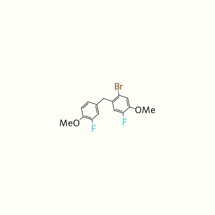 COc1ccc(Cc2cc(F)c(OC)cc2Br)cc1F